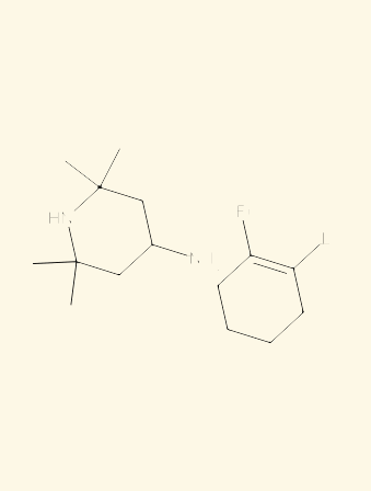 CC1(C)CC(N)CC(C)(C)N1.CCC1=C(CC)CCCC1